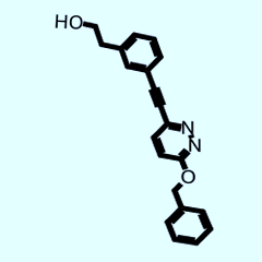 OCCc1cccc(C#Cc2ccc(OCc3ccccc3)nn2)c1